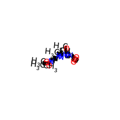 COCC1CN(CC2COCCO2)CCN1c1nn(C2CC3(C2)CN(C(=O)OC(C)(C)C)C3)c(C)c1C